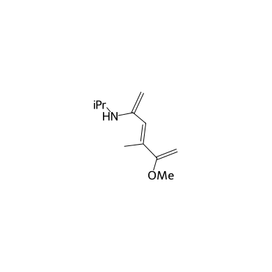 C=C(/C=C(\C)C(=C)OC)NC(C)C